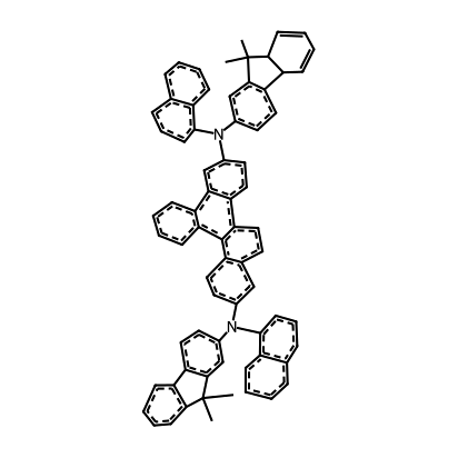 CC1(C)c2ccccc2-c2ccc(N(c3ccc4c(ccc5c6ccc(N(c7ccc8c(c7)C(C)(C)C7C=CC=CC87)c7cccc8ccccc78)cc6c6ccccc6c45)c3)c3cccc4ccccc34)cc21